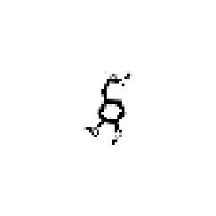 CN[C@@H](C)Cc1ccc(OC)c(OC)c1